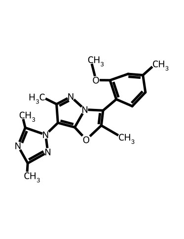 COc1cc(C)ccc1-c1c(C)oc2c(-n3nc(C)nc3C)c(C)nn12